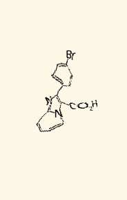 O=C(O)c1c(-c2ccc(Br)cc2)nc2ccccn12